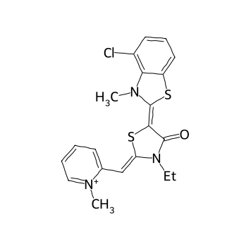 CCn1c(=O)/c(=C2\Sc3cccc(Cl)c3N2C)s/c1=C\c1cccc[n+]1C